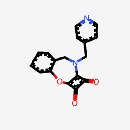 O=c1c2c(c1=O)N(Cc1ccncc1)Cc1ccccc1O2